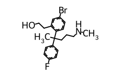 CNCCCC(C)(c1ccc(F)cc1)c1ccc(Br)cc1CCO